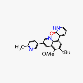 COc1c(C(C)(C)C)cc(-c2ccc[nH]c2=O)c2ncc(-c3ccc(C)nc3)cc12